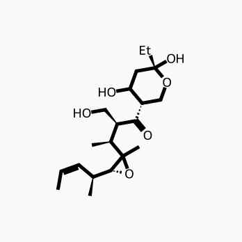 C/C=C\[C@H](C)[C@H]1OC1(C)[C@@H](C)[C@@H](CO)C(=O)[C@H]1CO[C@](O)(CC)CC1O